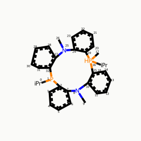 CC(C)P1c2ccccc2N(C)c2ccccc2[PH](C)(C(C)C)c2ccccc2N(C)c2ccccc21